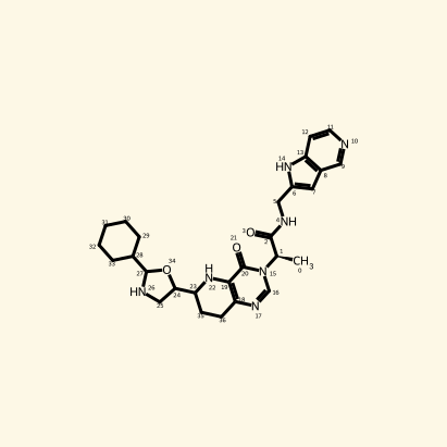 C[C@H](C(=O)NCc1cc2cnccc2[nH]1)n1cnc2c(c1=O)NC(C1CNC(C3CCCCC3)O1)CC2